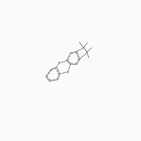 CC1(C)c2cc3c(cc2C1(C)C)Sc1ccccc1S3